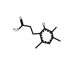 Cc1cc(C)c(CCC(=O)[SiH3])c(Cl)c1C